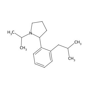 CC(C)Cc1ccccc1C1CCCN1C(C)C